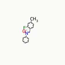 Cc1ccc(C=[N+]([O-])c2ccccc2)c(F)c1